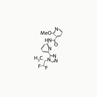 COc1ncccc1C(=O)Nc1cccc(-c2nncn2[C@@H](C)C(F)F)n1